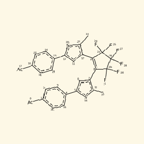 CC(=O)c1ccc(-c2cc(C3=C(c4cc(-c5ccc(C(C)=O)cc5)sc4C)C(F)(F)C(F)(F)C3(F)F)c(C)s2)cc1